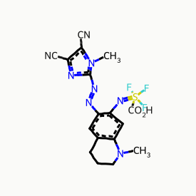 CN1CCCc2cc(N=Nc3nc(C#N)c(C#N)n3C)c(N=S(F)(F)(F)C(=O)O)cc21